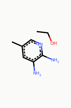 CCO.Cc1cnc(N)c(N)c1